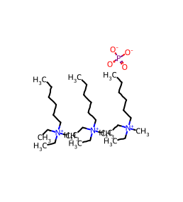 CCCCCC[N+](C)(CC)CC.CCCCCC[N+](C)(CC)CC.CCCCCC[N+](C)(CC)CC.O=P([O-])([O-])[O-]